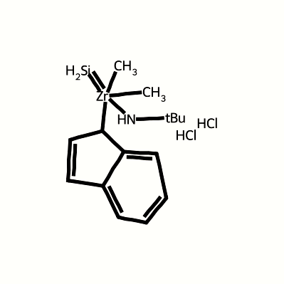 CC(C)(C)[NH][Zr]([CH3])([CH3])(=[SiH2])[CH]1C=Cc2ccccc21.Cl.Cl